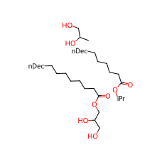 CC(O)CO.CCCCCCCCCCCCCCCC(=O)OC(C)C.CCCCCCCCCCCCCCCCCC(=O)OCC(O)CO